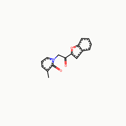 Cc1cccn(CC(=O)c2cc3ccccc3o2)c1=O